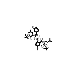 CC(C)CCN(C(=O)OC(C)(C)C)C(=O)c1cc(F)ccc1SSN(C(=O)c1cccc(F)c1)C(CC(C)C)C(=O)OC(C)(C)C